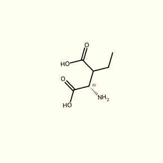 CCC(C(=O)O)[C@H](N)C(=O)O